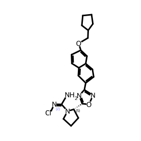 N/C(=N/Cl)N1CCC[C@H]1c1nc(-c2ccc3cc(OCC4CCCC4)ccc3c2)no1